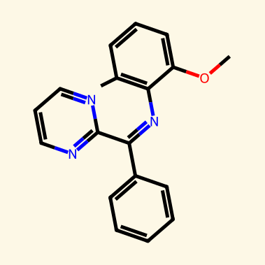 COc1cccc(C)c1N=C(c1ccccc1)c1ncccn1